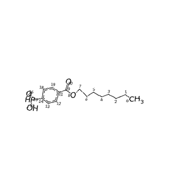 CCCCCCCCOC(=O)c1ccc([PH](=O)O)cc1